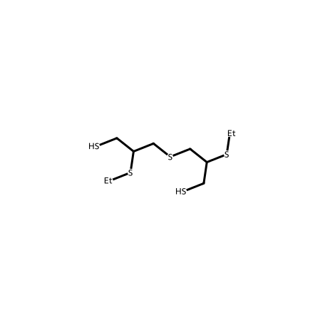 CCSC(CS)CSCC(CS)SCC